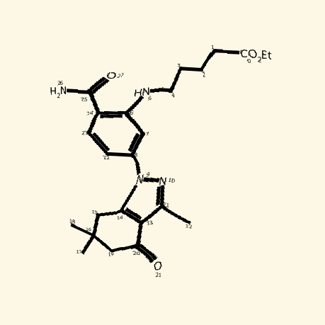 CCOC(=O)CCCCNc1cc(-n2nc(C)c3c2CC(C)(C)CC3=O)ccc1C(N)=O